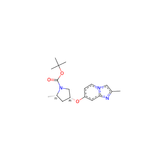 Cc1cn2ccc(O[C@@H]3C[C@H](C)N(C(=O)OC(C)(C)C)C3)cc2n1